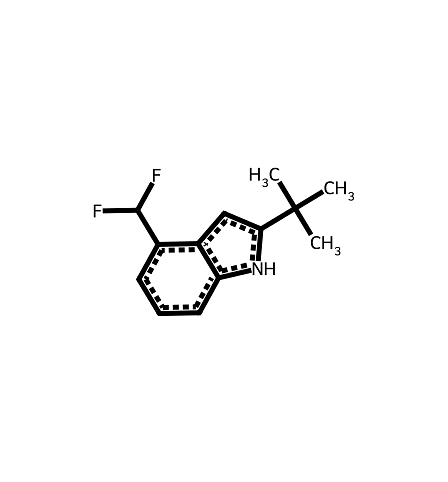 CC(C)(C)c1cc2c(C(F)F)cccc2[nH]1